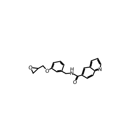 O=C(NCc1cccc(OCC2CO2)c1)c1ccc2ncccc2c1